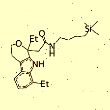 CCc1cccc2c3c([nH]c12)C(CC)(CC(=O)NCCCC[Si](C)(C)C)OCC3